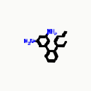 C=C/C=C\C(=C/C)c1ccccc1-c1cc(N)cc(N)c1